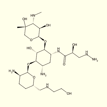 CN[C@@H]1[C@@H](O)[C@@H](O[C@@H]2[C@@H](O)[C@H](O[C@H]3O[C@H](CNCCO)CC[C@H]3N)[C@@H](N)C[C@H]2NC(=O)[C@@H](O)CNN)OC[C@]1(C)O